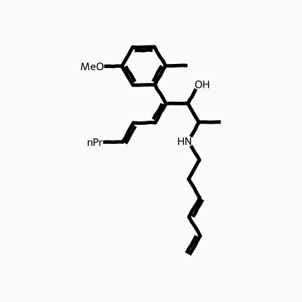 C=C/C=C/CCNC(C)C(O)/C(=C/C=C/CCC)c1cc(OC)ccc1C